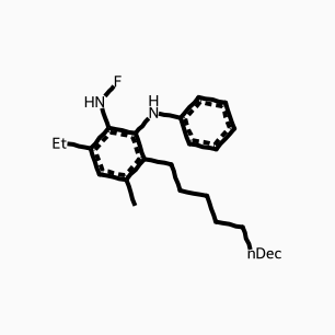 CCCCCCCCCCCCCCCc1c(C)cc(CC)c(NF)c1Nc1ccccc1